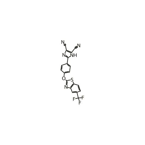 N#Cc1nc(-c2ccc(Oc3nc4cc(C(F)(F)F)ccc4s3)cc2)[nH]c1C#N